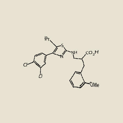 COc1ccccc1CC(CNc1nc(-c2ccc(Cl)c(Cl)c2)c(C(C)C)s1)C(=O)O